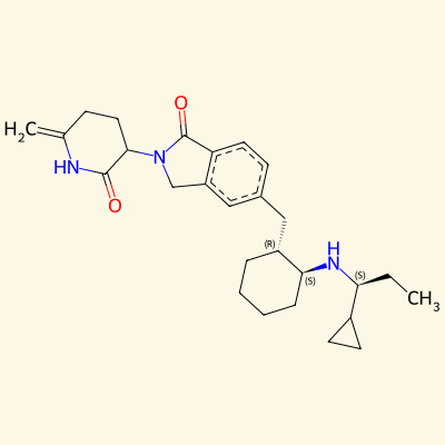 C=C1CCC(N2Cc3cc(C[C@H]4CCCC[C@@H]4N[C@@H](CC)C4CC4)ccc3C2=O)C(=O)N1